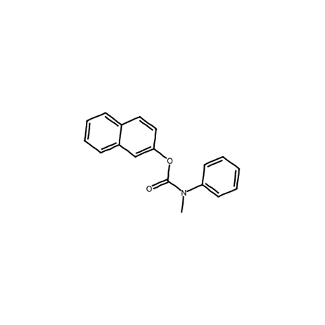 CN(C(=O)Oc1ccc2ccccc2c1)c1ccccc1